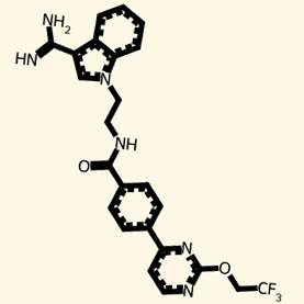 N=C(N)c1cn(CCNC(=O)c2ccc(-c3ccnc(OCC(F)(F)F)n3)cc2)c2ccccc12